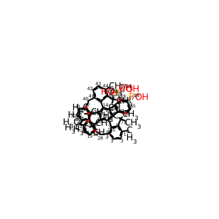 Cc1ccc2c(c1C(C)(C)C)-c1c3c(c4c(c1-c1c(ccc(C)c1C(C)(C)C)C2)-c1c(ccc(C)c1C(C)(C)C)Cc1ccc(C)c(C(C)(C)C)c1-4)-c1c-3ccc(P(O)O)c1P(O)O